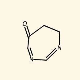 O=C1C=NC=NCC1